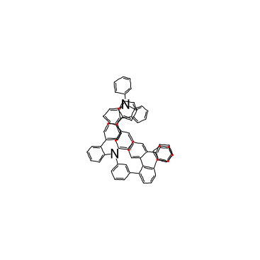 c1ccc(-c2ccc(-c3ccccc3N(c3cccc(-c4cccc(-c5ccccc5)c4-c4ccccc4-c4ccccc4)c3)c3cccc(-c4cccc5c4c4ccccc4n5-c4ccccc4)c3)cc2)cc1